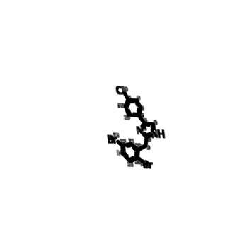 Clc1ccc(-c2c[nH]c(Cc3cc(Br)ccc3Br)n2)cc1